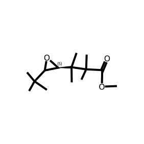 COC(=O)C(C)(C)C(C)(C)[C@@H]1OC1C(C)(C)C